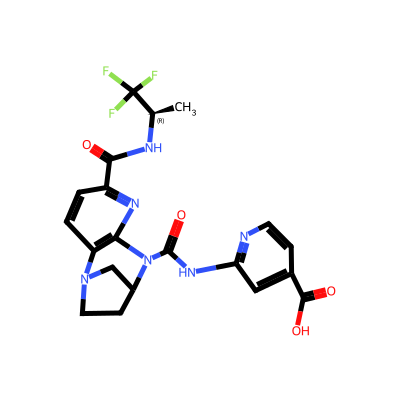 C[C@@H](NC(=O)c1ccc2c(n1)N(C(=O)Nc1cc(C(=O)O)ccn1)C1CCN2C1)C(F)(F)F